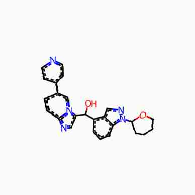 OC(c1cccc2c1cnn2C1CCCCO1)c1cnc2ccc(-c3ccncc3)cn12